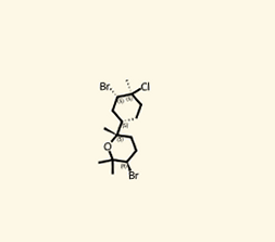 CC1(C)O[C@](C)([C@H]2CC[C@](C)(Cl)[C@@H](Br)C2)CC[C@H]1Br